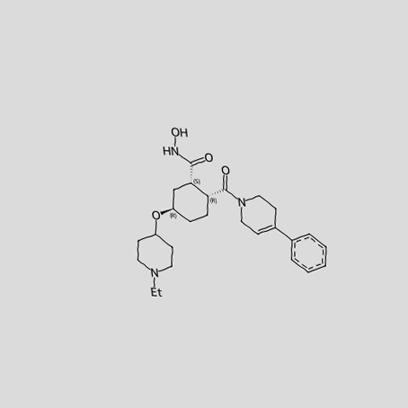 CCN1CCC(O[C@@H]2CC[C@@H](C(=O)N3CC=C(c4ccccc4)CC3)[C@@H](C(=O)NO)C2)CC1